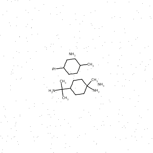 CC1(N)CCC(C(C)(C)N)CC1.CC1CCC(C(C)C)CC1.N.N